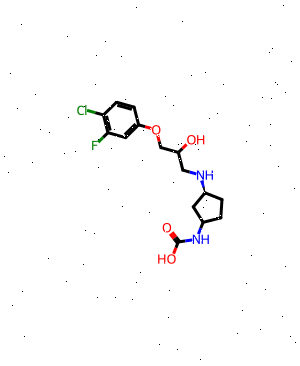 O=C(O)NC1CC[C@H](NCC(O)COc2ccc(Cl)c(F)c2)C1